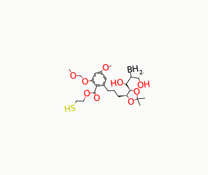 BC(C(O)[C@H]1OC(C)(C)O[C@H]1CCCc1cc(OC)cc(OCOC)c1C(=O)OCCS)[C@H](C)O